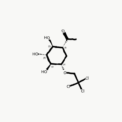 CC(=O)[C@@H]1C[C@H](OCC(Cl)(Cl)Cl)[C@@H](O)[C@H](O)[C@H]1O